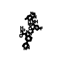 Cc1cc2ncnc-2c(NC(=O)C2CC(F)CN2C(=O)Cn2nc(C(N)=O)c3cc(-c4ccnnc4)ccc32)[nH]1